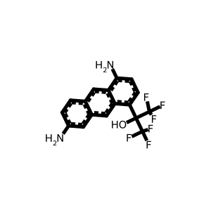 Nc1ccc2cc3c(N)ccc(C(O)(C(F)(F)F)C(F)(F)F)c3cc2c1